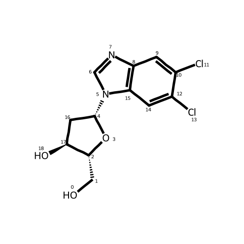 OC[C@H]1O[C@@H](n2cnc3cc(Cl)c(Cl)cc32)C[C@@H]1O